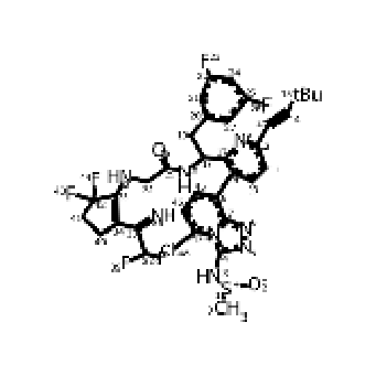 C[S+]([O-])Nc1nnc2c(-c3ccc(C#CC(C)(C)C)nc3C(Cc3cc(F)cc(F)c3)NC(=O)CNC3=C(C(=N)C(F)F)CCC3(F)F)ccc(Cl)n12